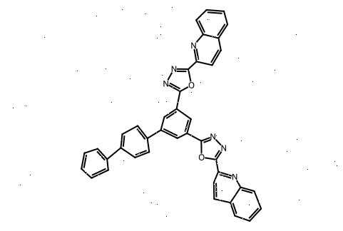 c1ccc(-c2ccc(-c3cc(-c4nnc(-c5ccc6ccccc6n5)o4)cc(-c4nnc(-c5ccc6ccccc6n5)o4)c3)cc2)cc1